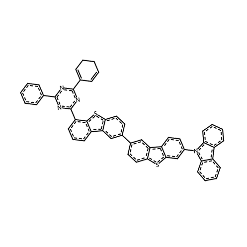 C1=CC(c2nc(-c3ccccc3)nc(-c3cccc4c3sc3ccc(-c5ccc6sc7cc(-n8c9ccccc9c9ccccc98)ccc7c6c5)cc34)n2)=CCC1